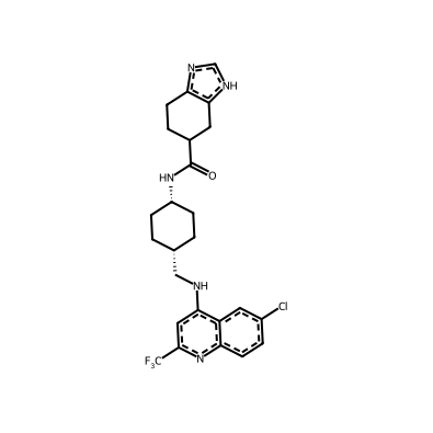 O=C(N[C@H]1CC[C@@H](CNc2cc(C(F)(F)F)nc3ccc(Cl)cc23)CC1)C1CCc2nc[nH]c2C1